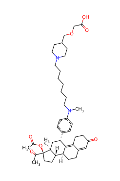 CC(=O)O[C@]1(C(C)=O)CC[C@H]2[C@@H]3CCC4=CC(=O)CCC4=C3[C@@H](c3ccc(N(C)CCCCCCCN4CCC(COCC(=O)O)CC4)cc3)C[C@@]21C